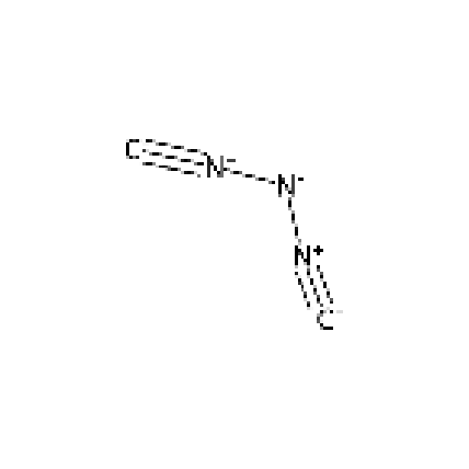 [C-]#[N+][N-][N+]#[C-]